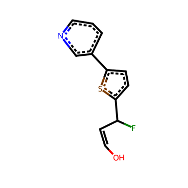 O/C=C\C(F)c1ccc(-c2cccnc2)s1